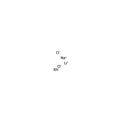 [Cl-].[Cl-].[KH].[Li+].[Na+]